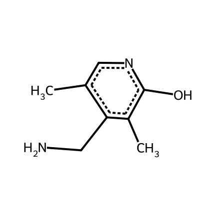 Cc1cnc(O)c(C)c1CN